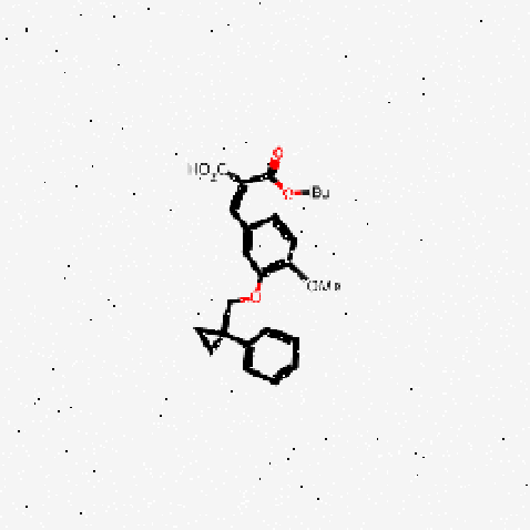 CCC(C)OC(=O)C(=Cc1ccc(OC)c(OCC2(c3ccccc3)CC2)c1)C(=O)O